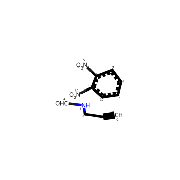 C#CCNC=O.O=[N+]([O-])c1ccccc1[N+](=O)[O-]